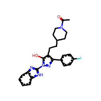 CC(=O)N1CCC(CCc2c(-c3ccc(F)cc3)nn(-c3nc4ccccc4[nH]3)c2O)CC1